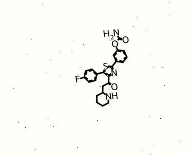 NC(=O)Oc1cccc(-c2nc(C(=O)[CH]C3CCCCN3)c(-c3ccc(F)cc3)s2)c1